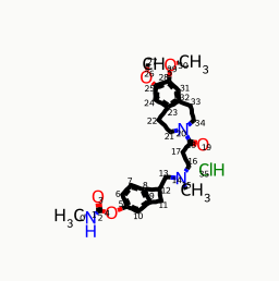 CNC(=O)Oc1ccc2c(c1)CC2CN(C)CCC(=O)N1CCc2cc(OC)c(OC)cc2CC1.Cl